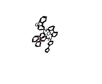 C1=CCC(C2=CC(N(c3ccc(-c4ccccc4)cc3)c3cccc4c3oc3c(N(c5ccc(-c6ccccc6)cc5)c5ccc6oc7ccccc7c6c5)cccc34)=CC2)=C1